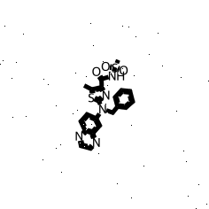 Cc1sc(N(Cc2ccccc2)c2ccc3nccnc3c2)nc1C(=O)NS(C)(=O)=O